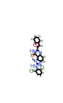 Cn1c(Nc2c(Cl)cccc2Cl)nc2ccc3nc(-c4cc5ccccc5o4)[nH]c(=O)c3c21